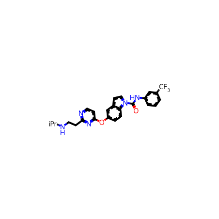 CC(C)NCCc1nccc(Oc2ccc3c(ccn3C(=O)Nc3cccc(C(F)(F)F)c3)c2)n1